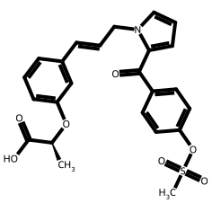 C[C@H](Oc1cccc(/C=C/Cn2cccc2C(=O)c2ccc(OS(C)(=O)=O)cc2)c1)C(=O)O